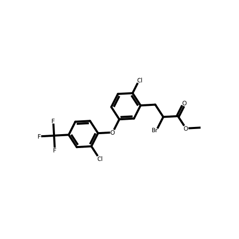 COC(=O)C(Br)Cc1cc(Oc2ccc(C(F)(F)F)cc2Cl)ccc1Cl